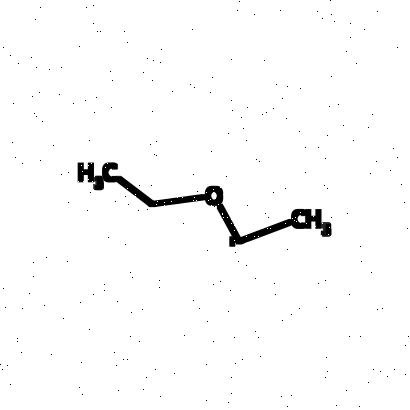 C[C]OCC